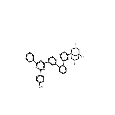 C[C@@H]1C[C@@H]2C[C@H](C)CC(c3cccc(-c4ccccc4-c4cccc(-c5nc(-c6ccccc6)nc(-c6ccc(C#N)cc6)n5)c4)c3)(C1)C2